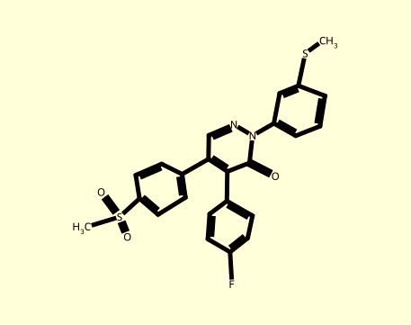 CSc1cccc(-n2ncc(-c3ccc(S(C)(=O)=O)cc3)c(-c3ccc(F)cc3)c2=O)c1